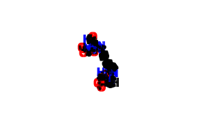 COC(=O)N[C@H](C(=O)N1C[C@]2(CCCOC2)C[C@H]1c1ncc(-c2ccc(-c3ccc4c(ccc5nc([C@@H]6C[C@@H]7CCC[C@@H]7N6C(=O)[C@@H](NC(=O)OC)C(C)C)[nH]c54)c3)cc2)[nH]1)C(C)C